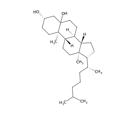 CC(C)CCC[C@@H](C)[C@H]1CC[C@H]2[C@@H]3CCC4(O)C[C@@H](O)CC[C@]4(C)[C@H]3CC[C@]12C